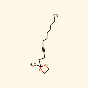 CC1(CCC#CCCCCCCC#N)OCCO1